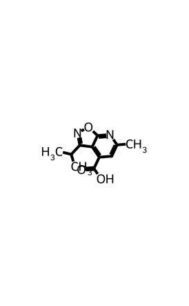 Cc1cc(C(=O)O)c2c(C(C)C)noc2n1